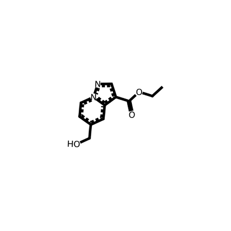 CCOC(=O)c1cnn2ccc(CO)cc12